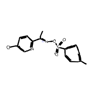 C/C(=N\OS(=O)(=O)c1ccc(C)cc1)c1ccc(Cl)cn1